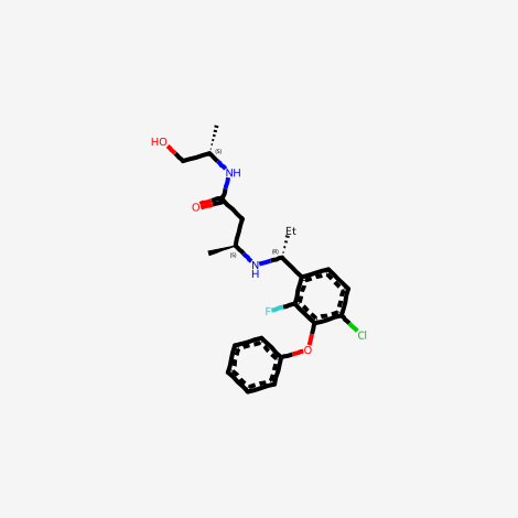 CC[C@@H](N[C@@H](C)CC(=O)N[C@@H](C)CO)c1ccc(Cl)c(Oc2ccccc2)c1F